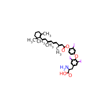 CC1=C(/C=C/C(C)=C/C=C/C(C)=C/C(=O)Oc2ccc(Oc3c(I)cc(CC(N)C(=O)O)cc3I)cc2I)C(C)(C)CCC1